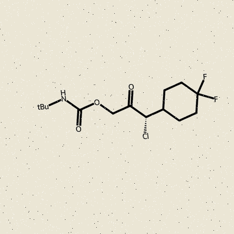 CC(C)(C)NC(=O)OCC(=O)[C@@H](Cl)C1CCC(F)(F)CC1